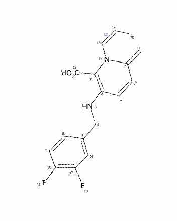 C=C1C=CC(NCc2ccc(F)c(F)c2)=C(C(=O)O)N1/C=C\C